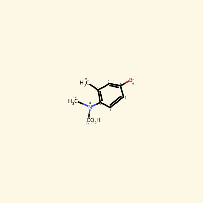 Cc1cc(Br)ccc1N(C)C(=O)O